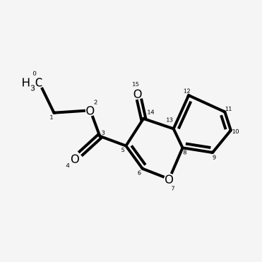 CCOC(=O)c1coc2ccccc2c1=O